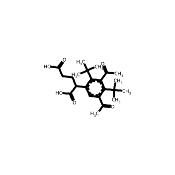 CC(=O)c1cc(C(CCC(=O)O)C(=O)O)c(C(C)(C)C)c(C(C)=O)c1C(C)(C)C